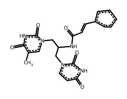 Cc1cn(CC(Cn2ccc(=O)[nH]c2=O)NC(=O)/C=C/c2ccccc2)c(=O)[nH]c1=O